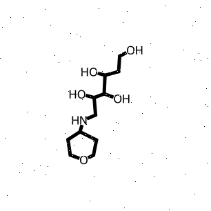 OCCC(O)C(O)C(O)CNC1CCOCC1